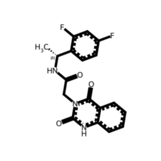 C[C@@H](NC(=O)Cn1c(=O)[nH]c2ccccc2c1=O)c1ccc(F)cc1F